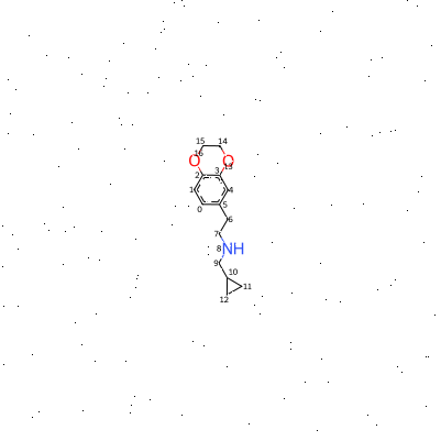 c1cc2c(cc1CCNCC1CC1)OCCO2